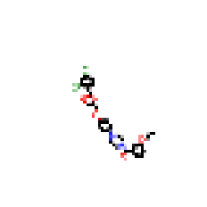 C=CCOc1cccc(C(=O)N2CCN(c3ccc(OCC4COC(c5ccc(Cl)cc5Cl)O4)cc3)CC2)c1